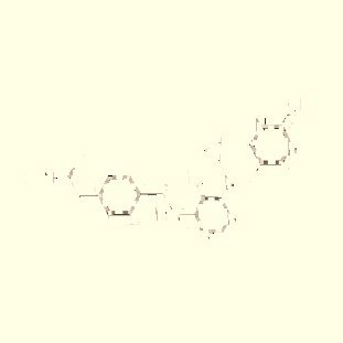 NC(=O)Cc1ccc(CNc2ncnc(N(Cc3cnc(C(F)(F)F)nc3)C3CC3)c2F)cc1